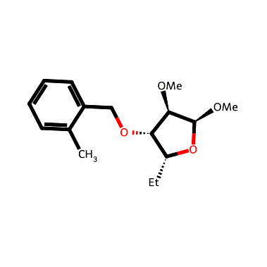 CC[C@H]1O[C@H](OC)[C@H](OC)[C@H]1OCc1ccccc1C